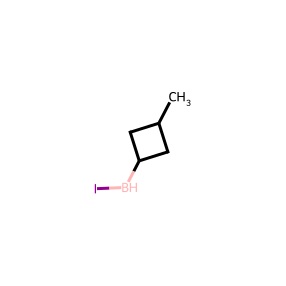 CC1CC(BI)C1